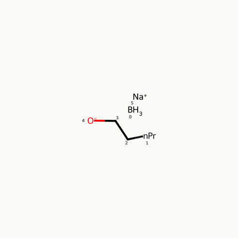 B.CCCCC[O-].[Na+]